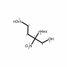 CCCCCCCCCCC(CO)(CCCCCC)[N+](=O)[O-]